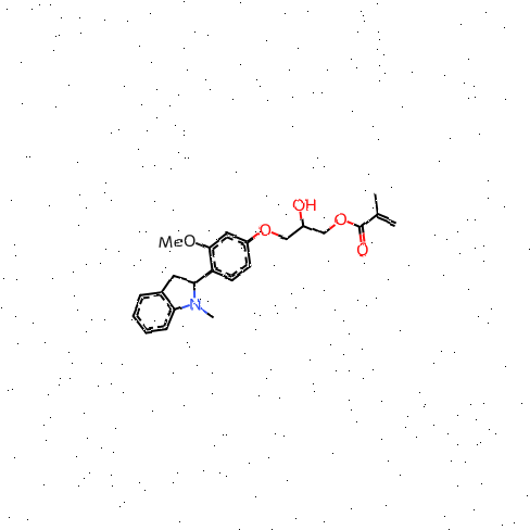 C=C(C)C(=O)OCC(O)COc1ccc(C2Cc3ccccc3N2C)c(OC)c1